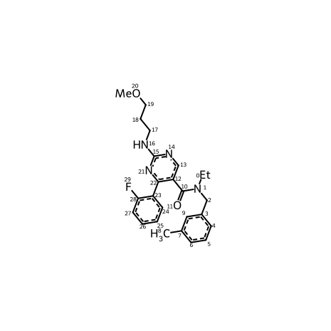 CCN(Cc1cccc(C)c1)C(=O)c1cnc(NCCCOC)nc1-c1ccccc1F